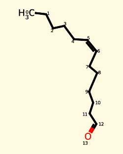 CCCCC/C=C\CCCCCC=O